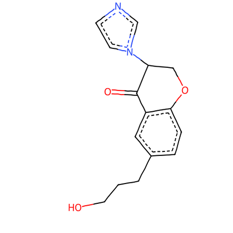 O=C1c2cc(CCCO)ccc2OCC1n1ccnc1